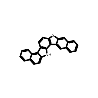 c1ccc2cc3c(cc2c1)sc1ccc2c([nH]c4ccc5ccccc5c42)c13